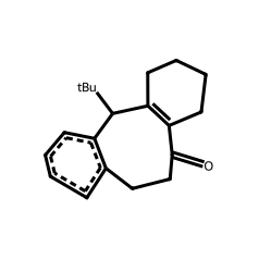 CC(C)(C)C1C2=C(CCCC2)C(=O)CCc2ccccc21